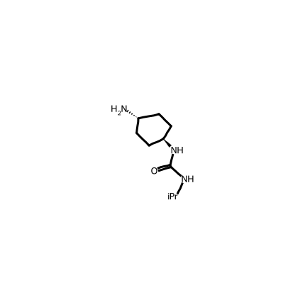 CC(C)NC(=O)N[C@H]1CC[C@H](N)CC1